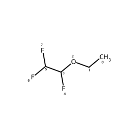 CCOC(F)C(F)F